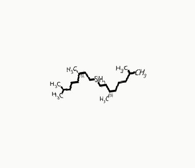 CC(C)CCC[C@H](C)CC[SiH2]CC[C@@H](C)CCCC(C)C